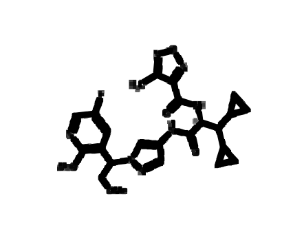 COCC(c1cc(F)cnc1OC)n1cc(NC(=O)[C@@H](NC(=O)c2nonc2C)C(C2CC2)C2CC2)cn1